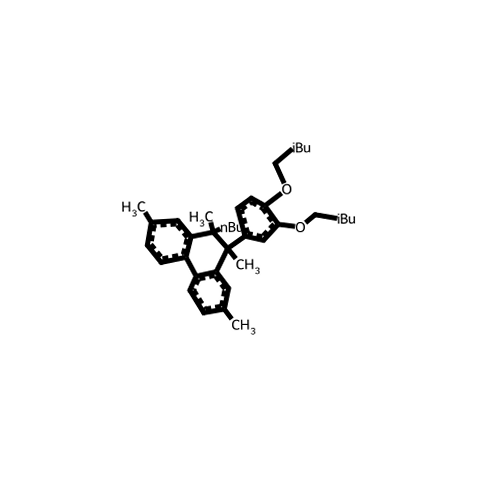 CCCCC1(C)c2cc(C)ccc2-c2ccc(C)cc2C1(C)c1ccc(OCC(C)CC)c(OCC(C)CC)c1